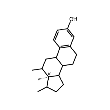 CC1CCC2C3CCc4cc(O)ccc4C3CC(C)[C@]12C